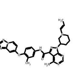 CC=CN1CCCC(n2nc(C(=O)Nc3ccc(Oc4ccn5ncnc5c4)c(C)c3)c3c(N)ncnc32)C1